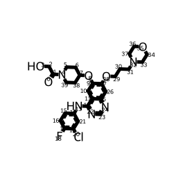 O=C(CO)N1CCC(Oc2cc3c(Nc4ccc(F)c(Cl)c4)ncnc3cc2OCCCN2CCOCC2)CC1